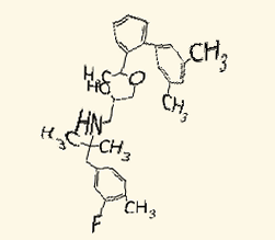 Cc1cc(C)cc(-c2ccccc2C(C)OC[C@H](O)CNC(C)(C)Cc2ccc(C)c(F)c2)c1